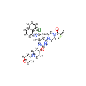 C=C(F)C(=O)N1CCN(c2nc(OC3CCN(C4CCOCC4)CC3)nc3c2CCN(c2cccc4cccc(Cl)c24)C3)CC1